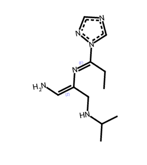 CC/C(=N\C(=C/N)CNC(C)C)n1cncn1